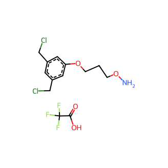 NOCCCOc1cc(CCl)cc(CCl)c1.O=C(O)C(F)(F)F